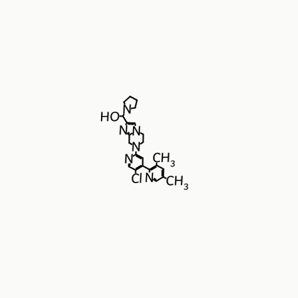 Cc1cnc(-c2cc(N3CCn4cc(C(O)N5CCCC5)nc4C3)ncc2Cl)c(C)c1